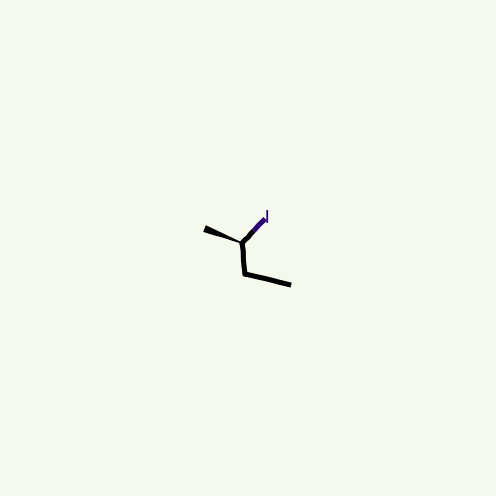 CC[C@@H](C)I